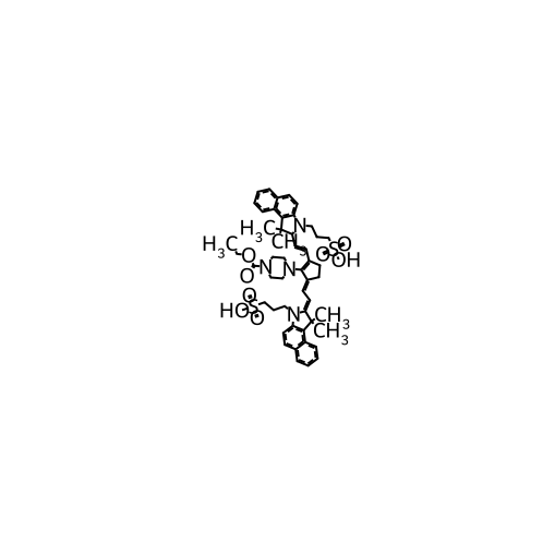 CCOC(=O)N1CCN(C2=C(C=CC3N(CCCS(=O)(=O)O)c4ccc5ccccc5c4C3(C)C)CCC2=CC=C2N(CCCS(=O)(=O)O)c3ccc4ccccc4c3C2(C)C)CC1